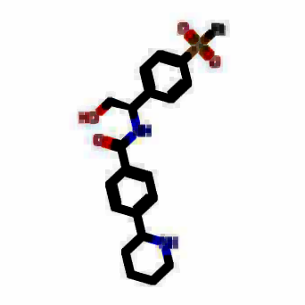 CCS(=O)(=O)c1ccc([C@H](CO)NC(=O)c2ccc(C3CCCCN3)cc2)cc1